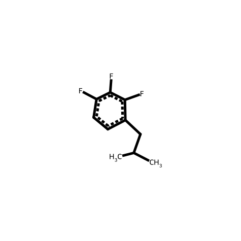 CC(C)Cc1ccc(F)c(F)c1F